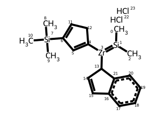 C[Si](C)=[Zr]([C]1=CC([Si](C)(C)C)=CC1)[CH]1C=Cc2ccccc21.Cl.Cl